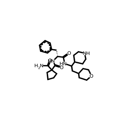 NC(=O)C1(C(=O)N[C@H](Cc2ccccc2)C(=O)NC(CC2CCOCC2)C2CCNCC2)CCCC1